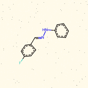 Fc1ccc(C=NNc2ccccc2)cc1